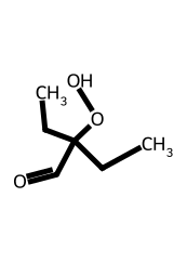 CCC(C=O)(CC)OO